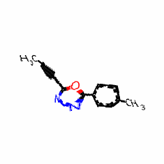 CC#Cc1nnc(-c2ccc(C)cc2)o1